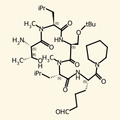 CC(C)C[C@@H](C(=O)N[C@@H](CCCC=O)C(=O)N1CCCCC1)N(C)C(=O)[C@H](COC(C)(C)C)NC(=O)[C@H](CC(C)C)N(C)C(=O)[C@@H](N)[C@@H](C)O